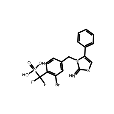 N=c1scc(-c2ccccc2)n1Cc1ccc(C(F)(F)P(=O)(O)O)c(Br)c1